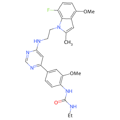 CCNC(=O)Nc1ccc(-c2cc(NCCn3c(C)cc4c(OC)ccc(F)c43)ncn2)cc1OC